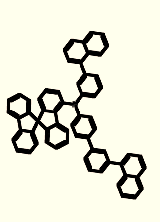 c1cc(-c2ccc(N(c3cccc(-c4cccc5ccccc45)c3)c3cccc4c3-c3ccccc3C43c4ccccc4-c4ccccc43)cc2)cc(-c2cccc3ccccc23)c1